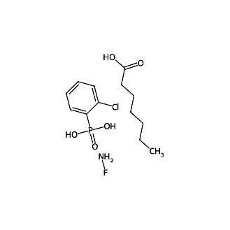 CCCCCCC(=O)O.NF.O=P(O)(O)c1ccccc1Cl